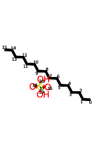 CCCCCCCCCCCCCCCC.O=S(=O)(O)O